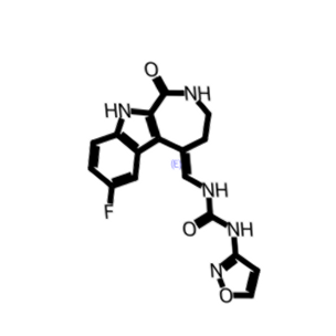 O=C(N/C=C1\CCNC(=O)c2[nH]c3ccc(F)cc3c21)Nc1ccon1